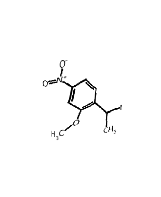 COc1cc([N+](=O)[O-])ccc1C(C)I